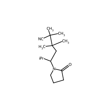 CC(C)C(CC(C)(C)C(C)(C)C#N)N1CCCC1=O